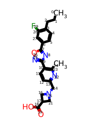 CCCc1ccc(-c2nc(-c3ccc(CN4CC(C(=O)O)C4)nc3C)no2)cc1F